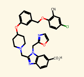 N#Cc1cc(Cl)ccc1OCc1cccc(OC2CCN(Cc3nc4ccc(C(=O)O)cc4n3Cc3ncco3)CC2)c1